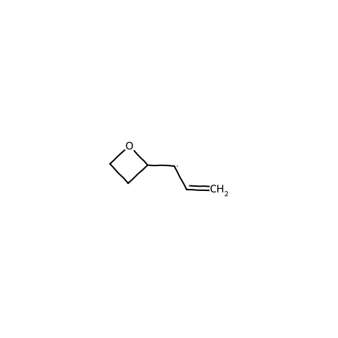 C=C[CH]C1CCO1